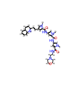 Cn1cc(NC(=O)c2cc(NC(=O)c3cc(C=Cc4ccc5ccccc5n4)cn3C)cn2C)cc1C(=O)NCCN1CCOCC1